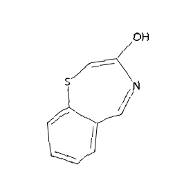 OC1=CSc2ccccc2C=N1